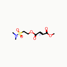 COC(=O)/C=C/C(=O)OCCS(=O)(=O)N(C)C